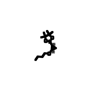 CCCCO[C@@H]1C[C@@H]1B1OC(C)(C)C(C)(C)O1